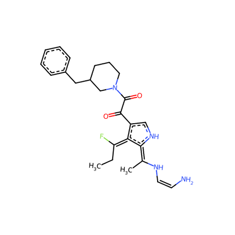 CC/C(F)=c1/c(C(=O)C(=O)N2CCCC(Cc3ccccc3)C2)c[nH]/c1=C(/C)N/C=C\N